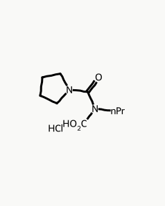 CCCN(C(=O)O)C(=O)N1CCCC1.Cl